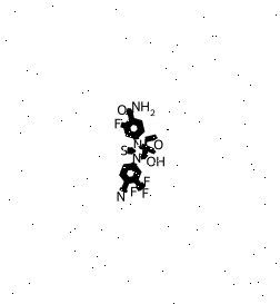 N#Cc1ccc(N2C(=S)N(c3ccc(C(N)=O)c(F)c3)[C@@]3(CCOC3)C2O)cc1C(F)(F)F